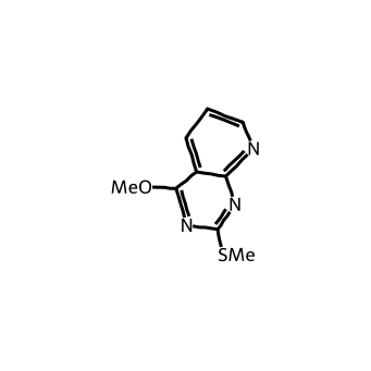 COc1nc(SC)nc2ncccc12